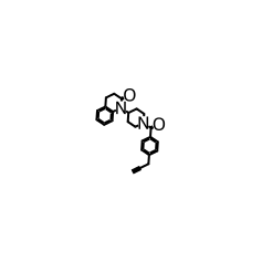 C#CCc1ccc(C(=O)N2CCC(N3C(=O)CCc4ccccc43)CC2)cc1